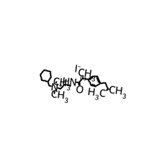 CC(C)Cc1ccc([C@@H](C)C(=O)NCCC[N+](C)(C)CC2CCCCC2)cc1.[I-]